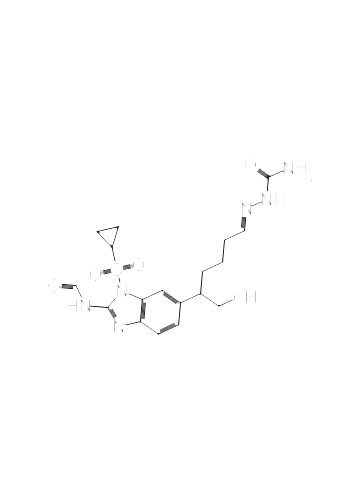 CCC(CCCC=NNC(N)=O)c1ccc2nc(NC=O)n(S(=O)(=O)C3CC3)c2c1